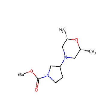 C[C@@H]1CN(C2CCN(C(=O)OC(C)(C)C)C2)C[C@H](C)O1